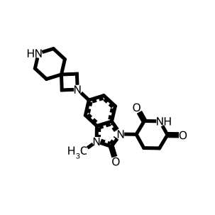 Cn1c(=O)n(C2CCC(=O)NC2=O)c2ccc(N3CC4(CCNCC4)C3)cc21